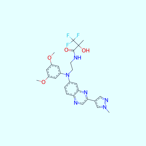 COc1cc(OC)cc(N(CCNC(=O)C(C)(O)C(F)(F)F)c2ccc3ncc(-c4cnn(C)c4)nc3c2)c1